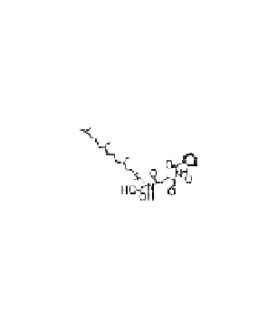 CC(C)=CCC/C(C)=C/CC/C(C)=C/CSC[C@H](NC(=O)CCC(C=O)N1C(=O)c2ccccc2C1=O)C(=O)O